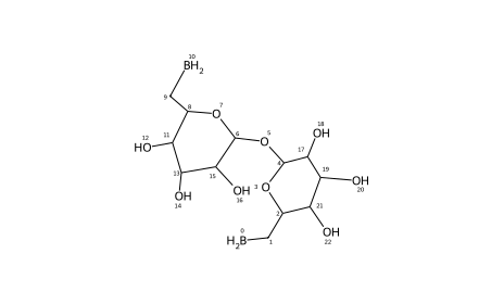 BCC1OC(OC2OC(CB)C(O)C(O)C2O)C(O)C(O)C1O